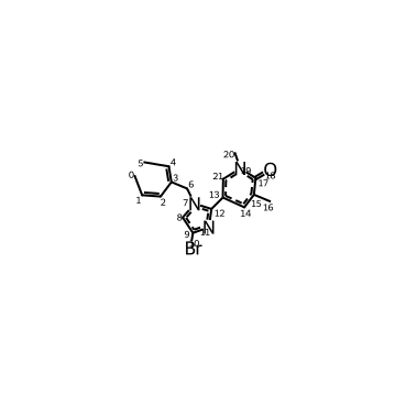 C/C=C\C(=C/C)Cn1cc(Br)nc1-c1cc(C)c(=O)n(C)c1